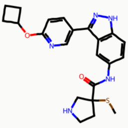 CSC1(C(=O)Nc2ccc3[nH]nc(-c4ccc(OC5CCC5)nc4)c3c2)CCNC1